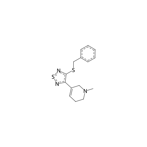 CN1CCC=C(c2nsnc2SCc2ccccc2)C1